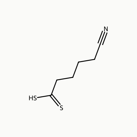 N#CCCCCC(=S)S